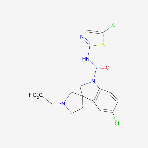 O=C(O)CN1CCC2(C1)CN(C(=O)Nc1ncc(Cl)s1)c1ccc(Cl)cc12